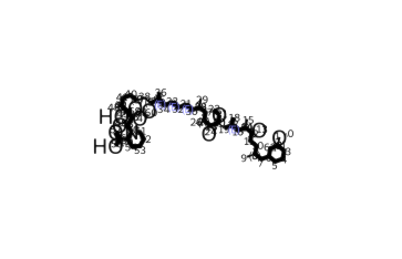 CO[C@H]1CCCC(C[C@@H](C)CCC(=O)[C@H](C)/C=C(\C)C[C@@H](OC)C(=O)[C@H](C)C[C@H](C)/C=C/C=C/C=C(\C)[C@H](C[C@@H]2CC[C@@H](C)[C@](O)(C(=O)C(=O)N3CCCC[C@H]3C(=O)O)O2)OC)C1